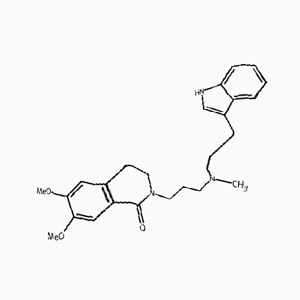 COc1cc2c(cc1OC)C(=O)N(CCCN(C)CCc1c[nH]c3ccccc13)CC2